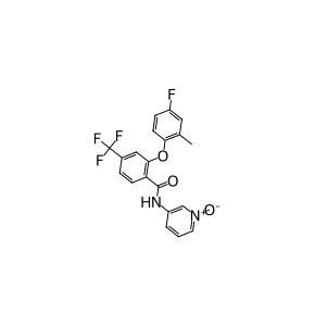 Cc1cc(F)ccc1Oc1cc(C(F)(F)F)ccc1C(=O)Nc1ccc[n+]([O-])c1